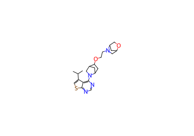 CC(C)c1csc2ncnc(N3CC4CC3CC4OCCN3CC4CC3CO4)c12